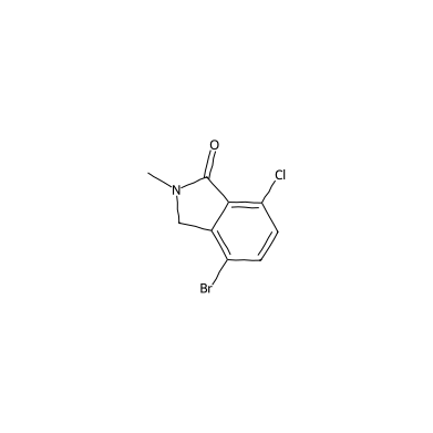 CN1Cc2c(Br)ccc(Cl)c2C1=O